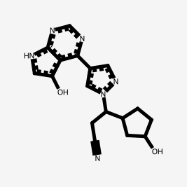 N#CCC(C1CCC(O)C1)n1cc(-c2ncnc3[nH]cc(O)c23)cn1